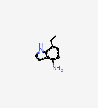 CCc1ccc(N)c2cc[nH]c12